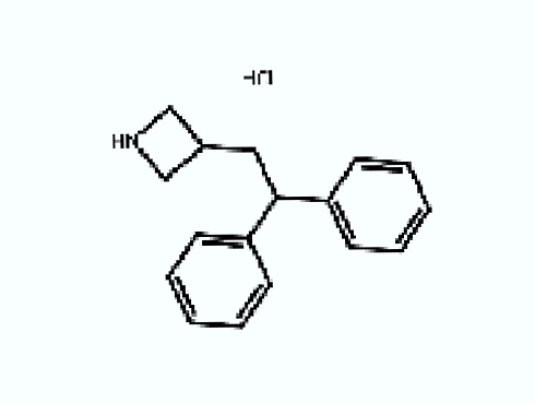 Cl.c1ccc(C(CC2CNC2)c2ccccc2)cc1